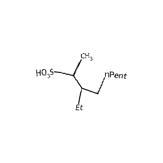 CCCCCCC(CC)C(C)S(=O)(=O)O